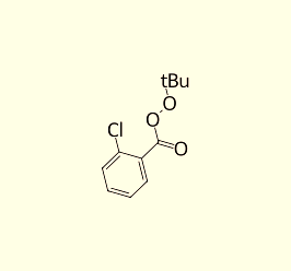 CC(C)(C)OOC(=O)c1ccccc1Cl